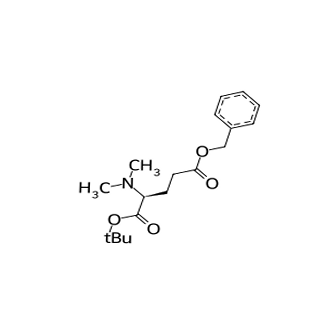 CN(C)[C@@H](CCC(=O)OCc1ccccc1)C(=O)OC(C)(C)C